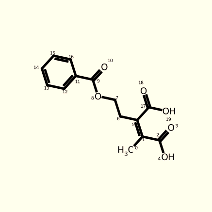 C/C(C(=O)O)=C(\CCOC(=O)c1ccccc1)C(=O)O